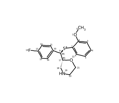 COc1ccccc1S[C@H](c1ccc(F)cc1)[C@H]1CNCCO1